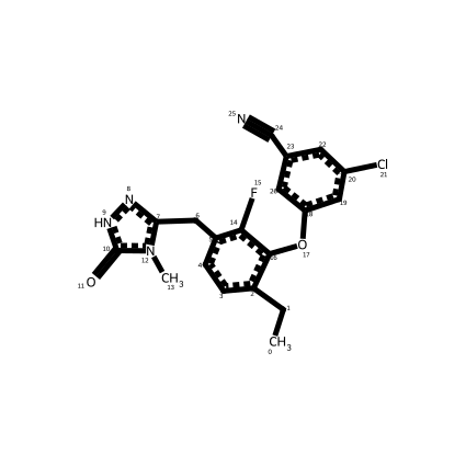 CCc1ccc(Cc2n[nH]c(=O)n2C)c(F)c1Oc1cc(Cl)cc(C#N)c1